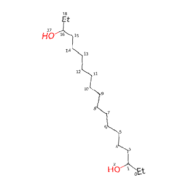 CCC(O)CCCCCCCCCCCCCC(O)CC